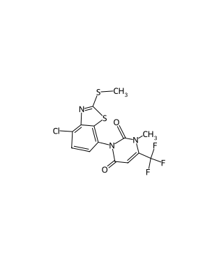 CSc1nc2c(Cl)ccc(-n3c(=O)cc(C(F)(F)F)n(C)c3=O)c2s1